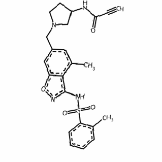 C#CC(=O)NC1CCN(Cc2cc(C)c3c(NS(=O)(=O)c4ccccc4C)noc3c2)C1